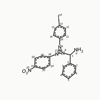 NC(c1ccccc1)n1n(-c2ccc(I)cc2)n1-c1ccc([N+](=O)[O-])cc1